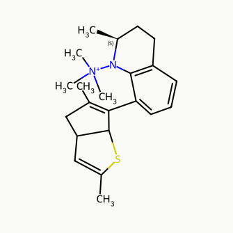 CC1=CC2CC(C)=C(c3cccc4c3N([N+](C)(C)C)[C@@H](C)CC4)C2S1